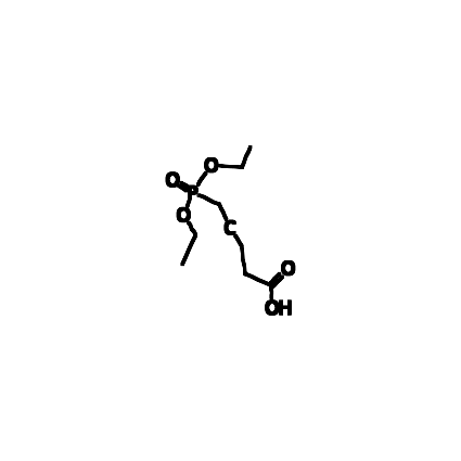 CCOP(=O)(CCCCC(=O)O)OCC